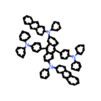 c1ccc(N(c2ccccc2)c2ccc(-c3c4ccc(N(c5ccccc5)c5ccc6cc7ccccc7cc6c5)cc4c(-c4ccc(N(c5ccccc5)c5ccccc5)cc4)c4ccc(N(c5ccccc5)c5ccc6cc7ccccc7cc6c5)cc34)cc2)cc1